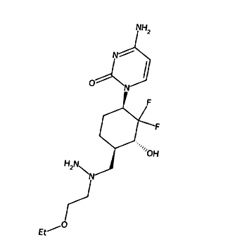 CCOCCN(N)C[C@H]1CC[C@@H](n2ccc(N)nc2=O)C(F)(F)[C@@H]1O